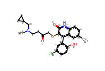 CCCN(CCC(=O)CSc1c(-c2cc(Cl)ccc2O)c2cc(C(F)(F)F)ccc2[nH]c1=O)CC1CC1